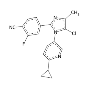 Cc1nc(-c2ccc(C#N)c(F)c2)n(-c2ccc(C3CC3)nc2)c1Cl